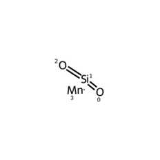 O=[Si]=O.[Mn]